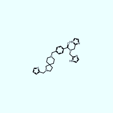 O=C(c1ccc(CN2CCC3(CC2)CCN(Cc2cccs2)C3)cc1)N(Cc1ncc[nH]1)Cc1ncc[nH]1